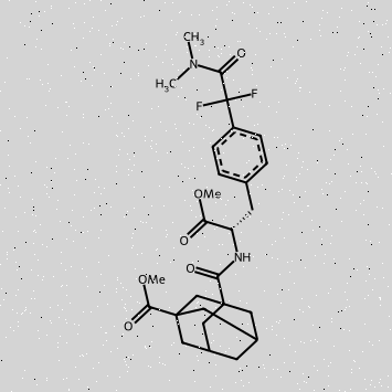 COC(=O)[C@H](Cc1ccc(C(F)(F)C(=O)N(C)C)cc1)NC(=O)C12CC3CC(C1)CC(C(=O)OC)(C3)C2